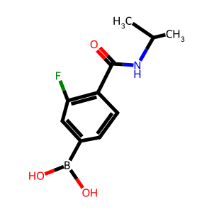 CC(C)NC(=O)c1ccc(B(O)O)cc1F